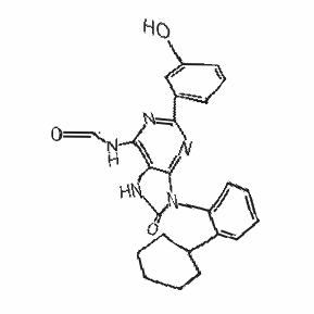 O=[C]Nc1nc(-c2cccc(O)c2)nc2c1[nH]c(=O)n2-c1ccccc1C1CCCCC1